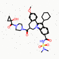 COc1ccc2c(c1)CC(C(=O)N1CCN(C(=O)C3(O)CC3)CC1)Cn1c-2c(C2CCCCC2)c2ccc(C(=O)NS(=O)(=O)N(C)C)cc21